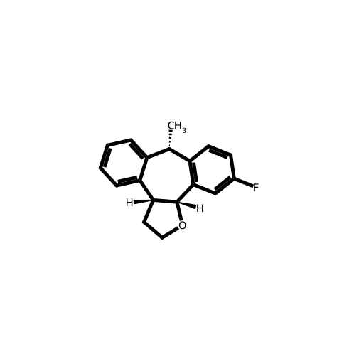 C[C@H]1c2ccccc2[C@H]2CCO[C@H]2c2cc(F)ccc21